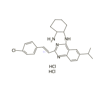 CC(C)c1ccc2nc(/C=C/c3ccc(Cl)cc3)nc(NC3CCCCC3N)c2c1.Cl.Cl